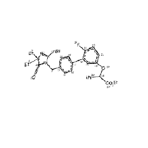 CCCCC1=NC(CC)(CC)C(=O)N1Cc1ccc(-c2cc(OC(C(=O)OCC)C(C)C)ccc2F)cc1